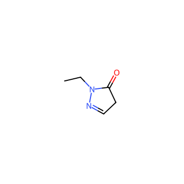 CCN1N=CCC1=O